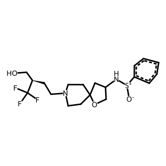 [O-][S+](NC1COC2(CCN(CC[C@H](CO)C(F)(F)F)CC2)C1)c1ccccc1